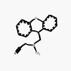 CN(CC#N)CC1c2ccccc2Oc2ccccc21